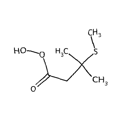 CSC(C)(C)CC(=O)OO